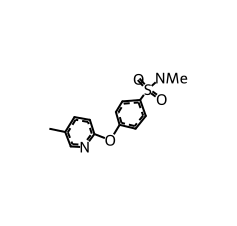 CNS(=O)(=O)c1ccc(Oc2ccc(C)cn2)cc1